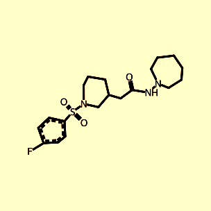 O=C(CC1CCCN(S(=O)(=O)c2ccc(F)cc2)C1)NN1CCCCCC1